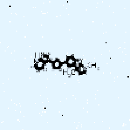 CN1CCC(C)(c2cccc(C3=CC=C(c4c[nH]c5ncccc45)C3)c2)C1=O